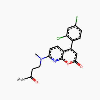 CNC(=O)CCN(C)c1ccc2c(-c3ccc(F)cc3Cl)cc(=O)oc2n1